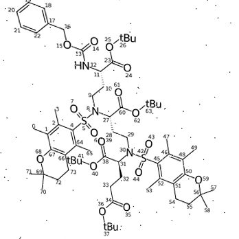 Cc1c(C)c(S(=O)(=O)N(CC[C@H](NC(=O)OCc2ccccc2)C(=O)OC(C)(C)C)[C@@H](CCN([C@@H](CCC(=O)OC(C)(C)C)C(=O)OC(C)(C)C)S(=O)(=O)c2c(C)c(C)c3c(c2C)CCC(C)(C)O3)C(=O)OC(C)(C)C)c(C)c2c1OC(C)(C)CC2